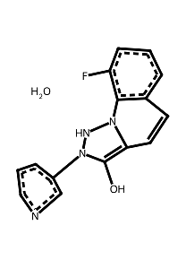 O.OC1=C2C=Cc3cccc(F)c3N2NN1c1cccnc1